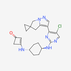 O=C1C=C(N[C@H]2CC[C@H](Nc3ncc(Cl)c(-c4cnn5c4CC4(CC4)C5)n3)CC2)C1